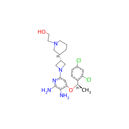 C[C@@H](Oc1cc(N2CC([C@H]3CCCN(CCO)C3)C2)nc(N)c1N)c1ccc(Cl)cc1Cl